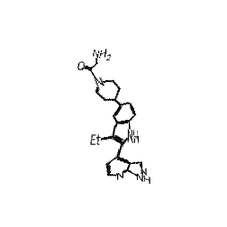 CCc1c(-c2ccnc3[nH]ncc23)[nH]c2ccc(C3CCN(C(=O)CN)CC3)cc12